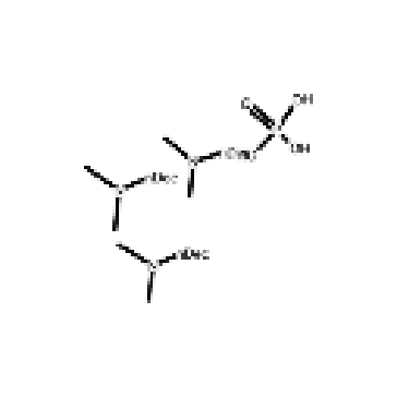 CCCCCCCCCCN(C)C.CCCCCCCCCCN(C)C.CCCCCCCCCCN(C)C.O=P(O)(O)O